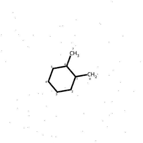 [CH2]C1CCCCC1C